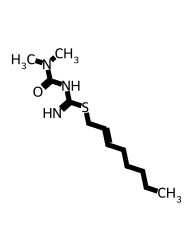 CCCCCC=CCSC(=N)NC(=O)N(C)C